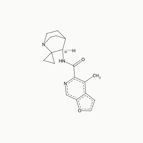 Cc1c(C(=O)N[C@@H]2C3CCN(CC3)C23CC3)ncc2occc12